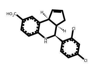 O=C(O)c1ccc2c(c1)[C@H]1C=CC[C@H]1[C@@H](c1ccc(Cl)cc1Cl)N2